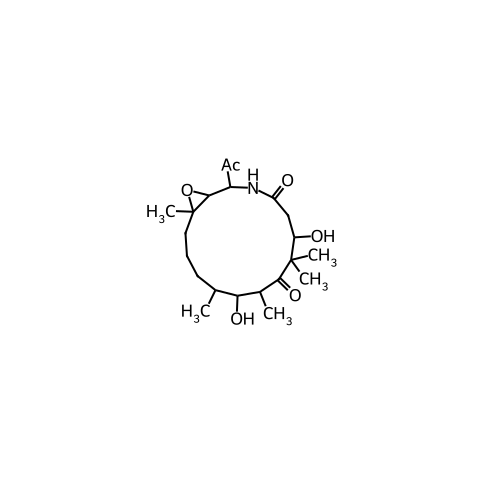 CC(=O)C1NC(=O)CC(O)C(C)(C)C(=O)C(C)C(O)C(C)CCCC2(C)OC12